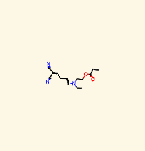 C=CC(=O)OCCN(/C=C/CC=C(C#N)C#N)CC